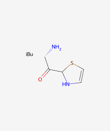 CC[C@H](C)[C@H](N)C(=O)C1NC=CS1